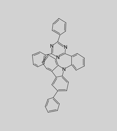 c1ccc(-c2ccc3c(c2)c2ccccc2n3-c2ccccc2-c2nc(-c3ccccc3)nc(-c3ccccc3)n2)cc1